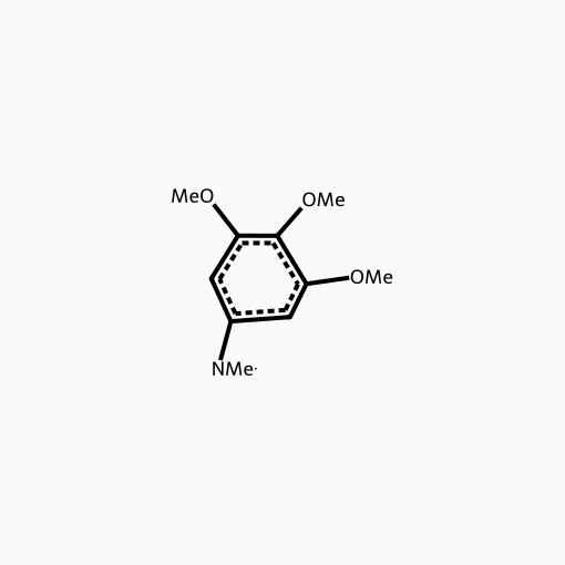 C[N]c1cc(OC)c(OC)c(OC)c1